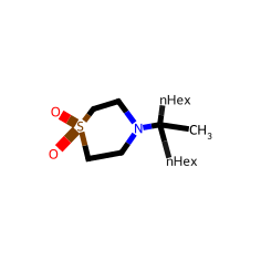 CCCCCCC(C)(CCCCCC)N1CCS(=O)(=O)CC1